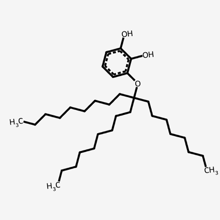 CCCCCCCCCC(CCCCCCCC)(CCCCCCCCC)Oc1cccc(O)c1O